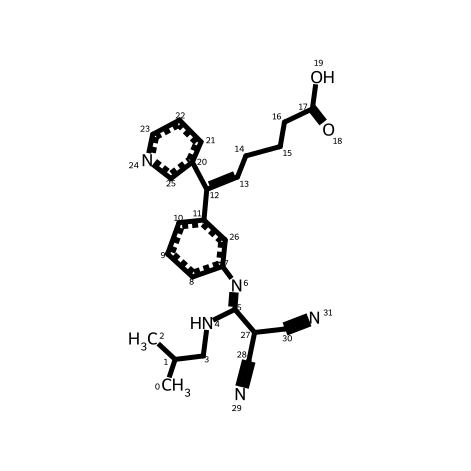 CC(C)CNC(=Nc1cccc(C(=CCCCC(=O)O)c2cccnc2)c1)C(C#N)C#N